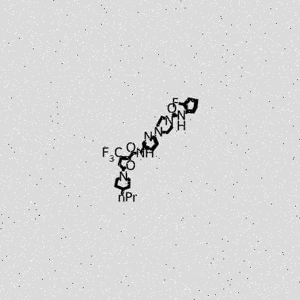 CCCC1CCN(C2CC(C(F)(F)F)=C(C(=O)Nc3ccc(N4CCN(C(=O)Nc5ccccc5F)CC4)nc3)O2)CC1